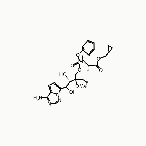 CO[C@](CF)(COP(=O)(N[C@@H](C)C(=O)OCC1CC1)Oc1ccccc1)[C@@H](O)[C@@H](O)c1ccc2c(N)ncnn12